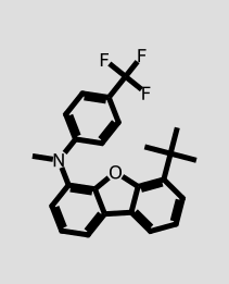 CN(c1ccc(C(F)(F)F)cc1)c1cccc2c1oc1c(C(C)(C)C)cccc12